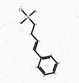 C[Si](C)(Cl)CCC=Cc1ccccc1